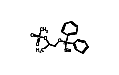 CC(CO[Si](c1ccccc1)(c1ccccc1)C(C)(C)C)OS(C)(=O)=O